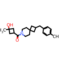 Cc1ccc(CC2CC3(CCN(C(=O)C4CC(C)(O)C4)CC3)C2)cc1